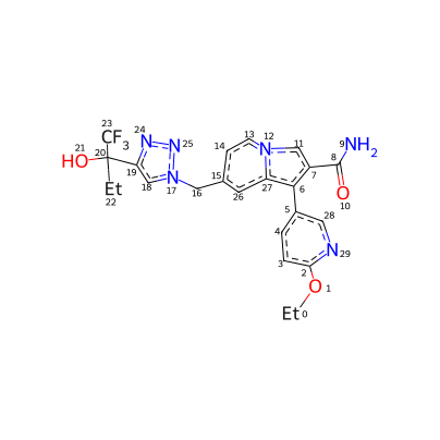 CCOc1ccc(-c2c(C(N)=O)cn3ccc(Cn4cc(C(O)(CC)C(F)(F)F)nn4)cc23)cn1